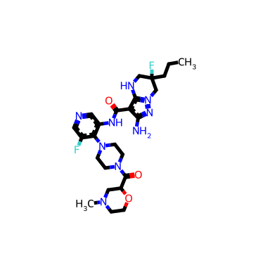 CCCC1(F)CNc2c(C(=O)Nc3cncc(F)c3N3CCN(C(=O)C4CN(C)CCO4)CC3)c(N)nn2C1